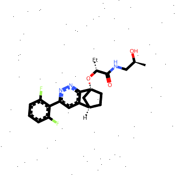 CC[C@@H](O[C@]12CC[C@H](C1)c1cc(-c3c(F)cccc3F)nnc12)C(=O)NC[C@H](C)O